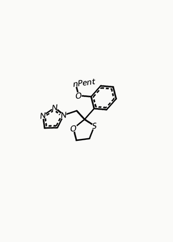 CCCCCOc1ccccc1C1(Cn2ccnn2)OCCS1